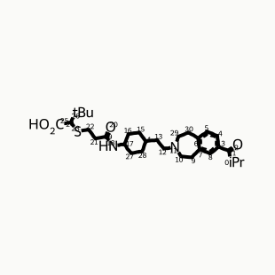 CC(C)C(=O)c1ccc2c(c1)CCN(CCC1CCC(NC(=O)CCSC(C(=O)O)C(C)(C)C)CC1)CC2